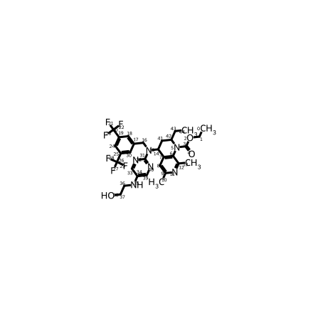 CCOC(=O)N1c2c(cc(C)nc2C)C(N(Cc2cc(C(F)(F)F)cc(C(F)(F)F)c2)c2ncc(NCCO)cn2)CC1CC